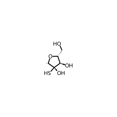 OC[C@H]1O[CH][C@@](O)(S)[C@@H]1O